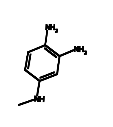 CNc1ccc(N)c(N)c1